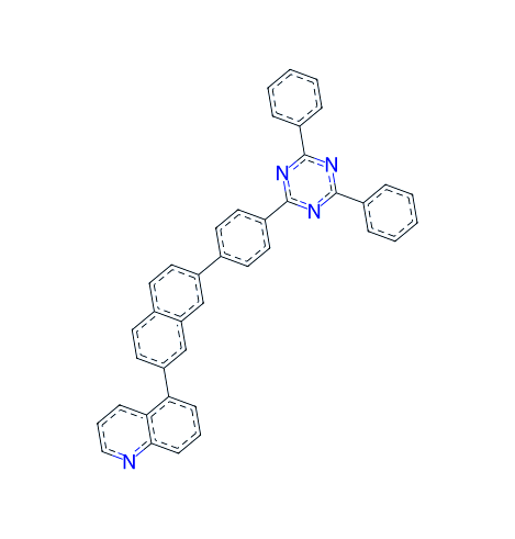 c1ccc(-c2nc(-c3ccccc3)nc(-c3ccc(-c4ccc5ccc(-c6cccc7ncccc67)cc5c4)cc3)n2)cc1